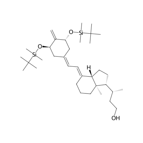 C=C1[C@H](O[Si](C)(C)C(C)(C)C)CC(=C/C=C2\CCC[C@]3(C)[C@@H]([C@H](C)CCO)CC[C@@H]23)C[C@H]1O[Si](C)(C)C(C)(C)C